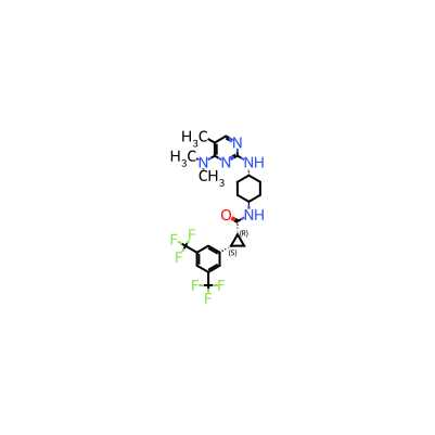 Cc1cnc(N[C@H]2CC[C@H](NC(=O)[C@@H]3C[C@@H]3c3cc(C(F)(F)F)cc(C(F)(F)F)c3)CC2)nc1N(C)C